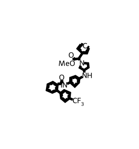 COC(=O)C(c1ccccc1)N1CCC(Nc2ccc(NC(=O)c3ccccc3-c3ccc(C(F)(F)F)cc3)cc2)C1